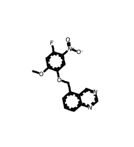 COc1cc(F)c([N+](=O)[O-])cc1OCc1cccc2ncncc12